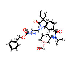 CCC1(CC)C(=O)N(CCNC(=O)OCc2ccccc2)c2cc(C(=O)N(C(C)C)[C@@H]3CCCB(C=O)C3)ccc21